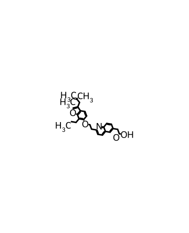 CCCc1c(OCCc2ccc3cc(CC(=O)O)ccc3n2)ccc2c(CC(C)(C)C)coc12